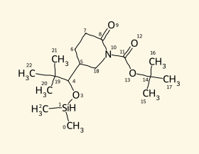 C[SiH](C)OC(C1CCC(=O)N(C(=O)OC(C)(C)C)C1)C(C)(C)C